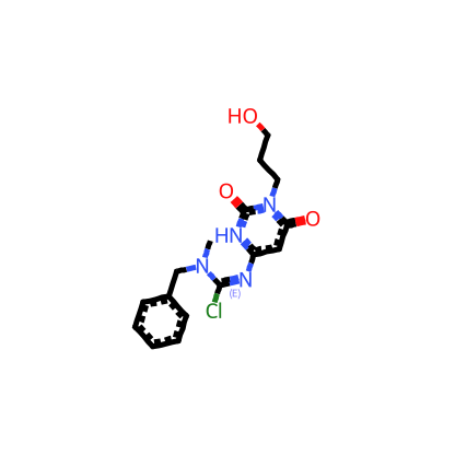 CN(Cc1ccccc1)/C(Cl)=N\c1cc(=O)n(CCCO)c(=O)[nH]1